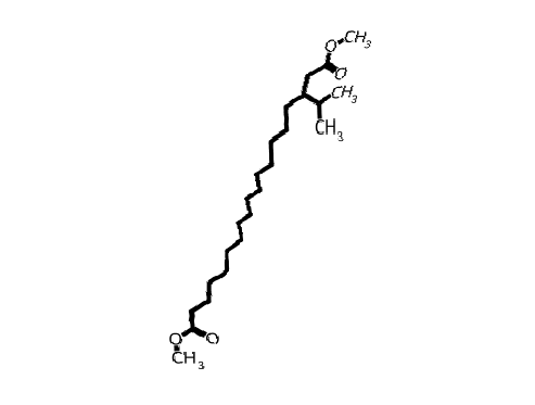 COC(=O)CCCCCCCCCCCCCCCC(CC(=O)OC)C(C)C